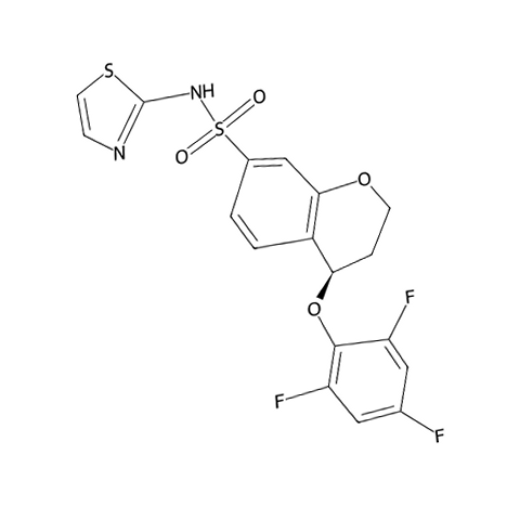 O=S(=O)(Nc1nccs1)c1ccc2c(c1)OCC[C@H]2Oc1c(F)cc(F)cc1F